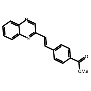 COC(=O)c1ccc(C=Cc2cnc3ccccc3n2)cc1